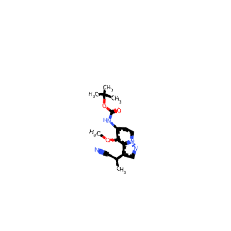 COc1c(NC(=O)OC(C)(C)C)ccn2ncc(C(C)C#N)c12